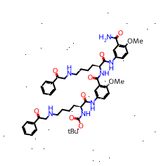 COc1ccc(NC(=O)[C@H](CCCCNCC(=O)c2ccccc2)NC(=O)c2cc(NC(=O)[C@H](CCCCNCC(=O)c3ccccc3)NC(=O)OC(C)(C)C)ccc2OC)cc1C(N)=O